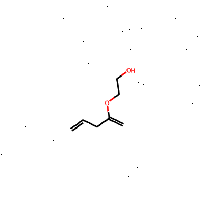 C=CCC(=C)OCCO